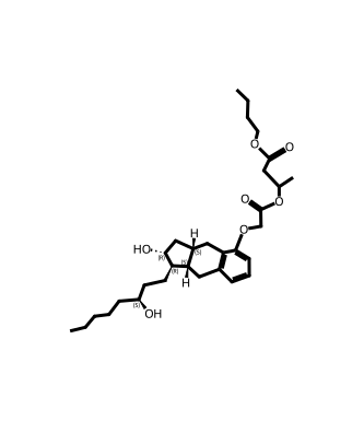 CCCCC[C@H](O)CC[C@@H]1[C@H]2Cc3cccc(OCC(=O)OC(C)CC(=O)OCCCC)c3C[C@H]2C[C@H]1O